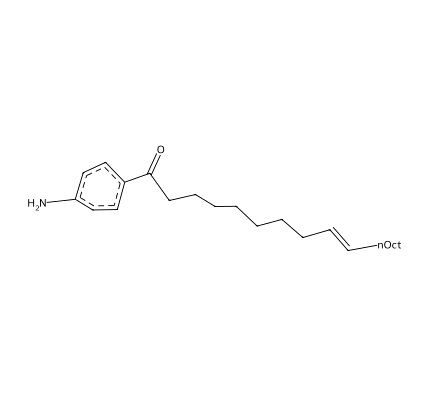 CCCCCCCCC=CCCCCCCCC(=O)c1ccc(N)cc1